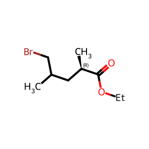 CCOC(=O)[C@H](C)CC(C)CBr